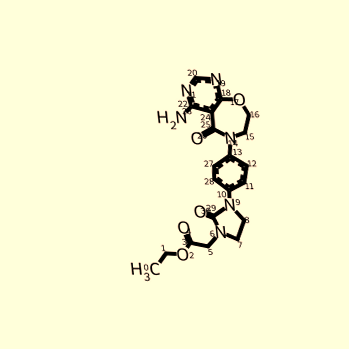 CCOC(=O)CN1CCN(c2ccc(N3CCOc4ncnc(N)c4C3=O)cc2)C1=O